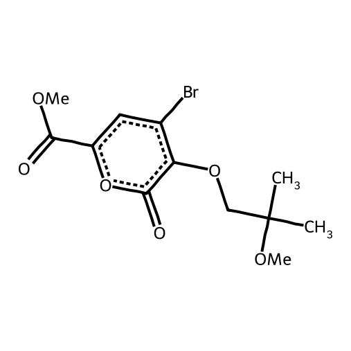 COC(=O)c1cc(Br)c(OCC(C)(C)OC)c(=O)o1